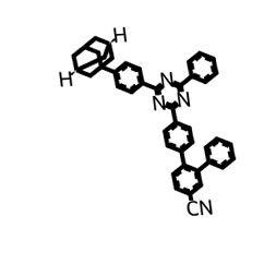 N#Cc1ccc(-c2ccc(-c3nc(-c4ccccc4)nc(-c4ccc(C56CC7C[C@H](C5)C[C@@H](C7)C6)cc4)n3)cc2)c(-c2ccccc2)c1